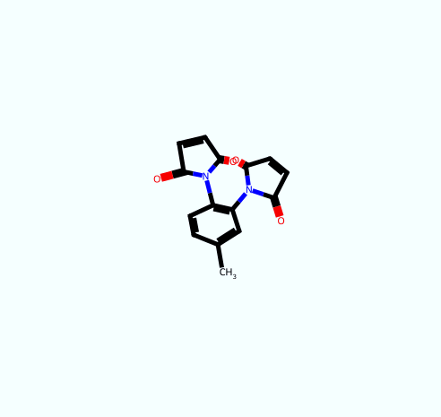 Cc1ccc(N2C(=O)C=CC2=O)c(N2C(=O)C=CC2=O)c1